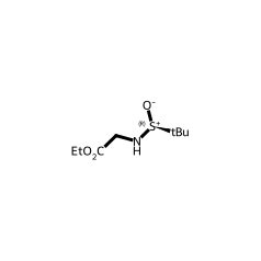 CCOC(=O)CN[S@@+]([O-])C(C)(C)C